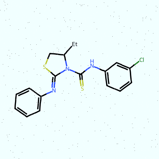 CCC1CSC(=Nc2ccccc2)N1C(=S)Nc1cccc(Cl)c1